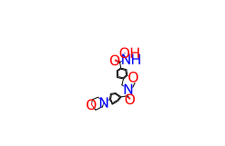 O=C(NO)c1ccc2c(c1)OCCN(C(=O)c1ccc(N3CCOCC3)cc1)C2